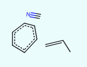 C#N.C=CC.c1ccccc1